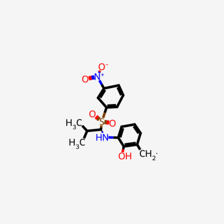 [CH2]c1cccc(N[C@H](C(C)C)S(=O)(=O)c2cccc([N+](=O)[O-])c2)c1O